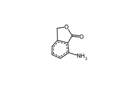 Nc1cccc2c1C(=O)OC2